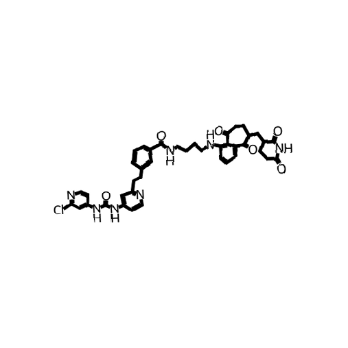 O=C1CCC(CC2CCC(=O)c3c(NCCCCNC(=O)c4cccc(CCc5cc(NC(=O)Nc6ccnc(Cl)c6)ccn5)c4)cccc3C2=O)C(=O)N1